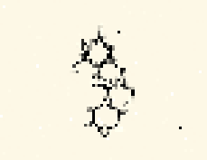 CCN(Cc1cc(C)nc(C)c1)C(=O)N1CCOCC1